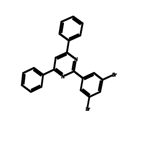 Brc1cc(Br)cc(-c2nc(-c3ccccc3)cc(-c3ccccc3)n2)c1